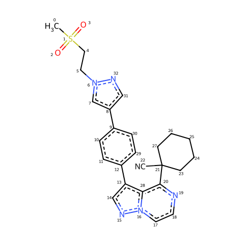 CS(=O)(=O)CCn1cc(-c2ccc(-c3cnn4ccnc(C5(C#N)CCCCC5)c34)cc2)cn1